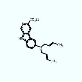 CC=CCN(CC=CC)c1ccc2[nH]c3cnc(C(=O)OCC)cc3c2c1